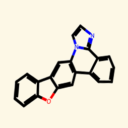 c1ccc2c(c1)oc1cc3c4ccccc4c4nccn4c3cc12